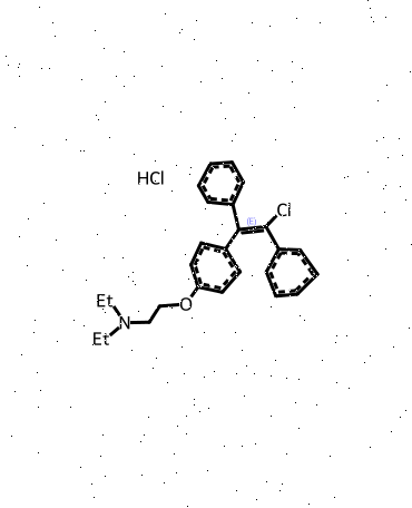 CCN(CC)CCOc1ccc(/C(=C(/Cl)c2ccccc2)c2ccccc2)cc1.Cl